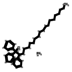 CCCCCCCCCCCCCCCCCCC(c1ccccc1)C(Cl)(c1ccccc1)c1ccccc1.P